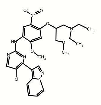 CCN(CC)CC(COC)Oc1cc(OC)c(Nc2ncc(Cl)c(-c3cnn4ccccc34)n2)cc1[N+](=O)[O-]